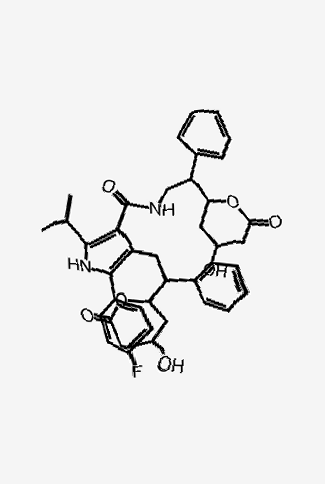 CC(C)c1[nH]c(-c2ccc(F)cc2)c(CC(c2ccccc2)C2CC(O)CC(=O)O2)c1C(=O)NCC(c1ccccc1)C1CC(O)CC(=O)O1